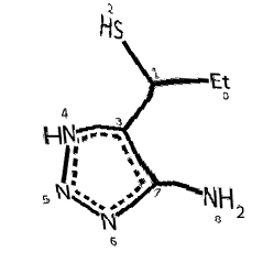 CCC(S)c1[nH]nnc1N